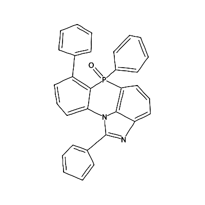 O=P1(c2ccccc2)c2c(-c3ccccc3)cccc2-n2c(-c3ccccc3)nc3cccc1c32